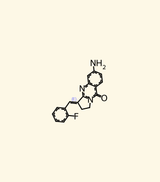 Nc1ccc2c(=O)n3c(nc2c1)/C(=C/c1ccccc1F)CC3